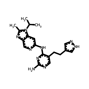 Cc1nc2cnc(Nc3nc(N)ncc3CCc3cn[nH]c3)cc2n1C(C)C